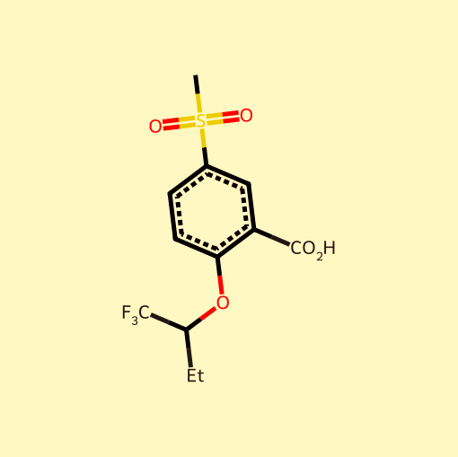 CCC(Oc1ccc(S(C)(=O)=O)cc1C(=O)O)C(F)(F)F